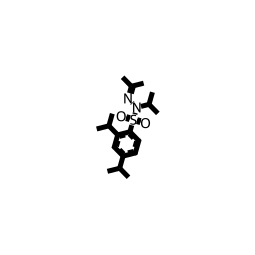 CC(C)=NN(C(C)C)S(=O)(=O)c1ccc(C(C)C)cc1C(C)C